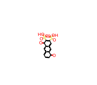 O=C1C=CC=c2cc3c(cc21)=CC(S(=O)(=O)O)=C(S(=O)(=O)O)C3=O